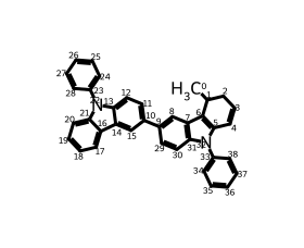 CC1CC=Cc2c1c1cc(-c3ccc4c(c3)c3ccccc3n4-c3ccccc3)ccc1n2-c1ccccc1